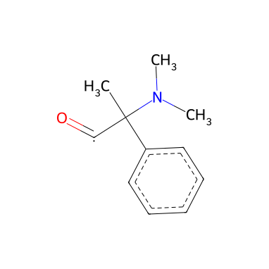 CN(C)C(C)([C]=O)c1ccccc1